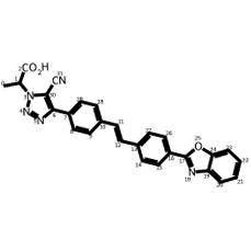 CC(C(=O)O)n1nnc(-c2ccc(C=Cc3ccc(-c4nc5ccccc5o4)cc3)cc2)c1C#N